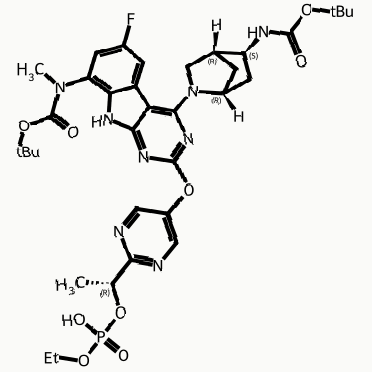 CCOP(=O)(O)O[C@H](C)c1ncc(Oc2nc(N3C[C@H]4C[C@@H]3C[C@@H]4NC(=O)OC(C)(C)C)c3c(n2)[nH]c2c(N(C)C(=O)OC(C)(C)C)cc(F)cc23)cn1